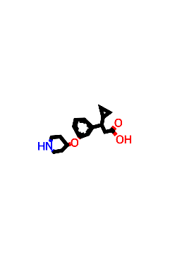 O=C(O)CC(c1cccc(OC2CCNCC2)c1)C1CC1